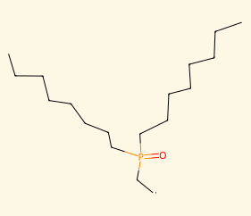 [CH2]CP(=O)(CCCCCCCC)CCCCCCCC